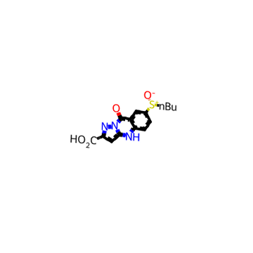 CCCC[S+]([O-])c1ccc2[nH]c3cc(C(=O)O)nn3c(=O)c2c1